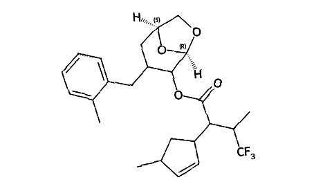 Cc1ccccc1CC1C[C@H]2CO[C@H](O2)C1OC(=O)C(C1C=CC(C)C1)C(C)C(F)(F)F